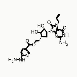 C=CCn1c(=O)n([C@@H]2C[C@H](CCOC(=O)c3ccc(NN)nc3)[C@@H](O)[C@H]2O)c2nc(N)[nH]c(=O)c21